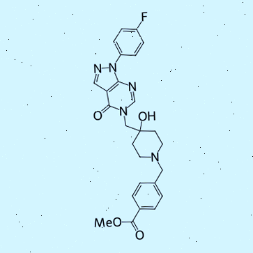 COC(=O)c1ccc(CN2CCC(O)(Cn3cnc4c(cnn4-c4ccc(F)cc4)c3=O)CC2)cc1